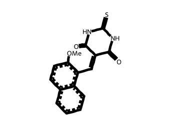 COc1ccc2ccccc2c1C=C1C(=O)NC(=S)NC1=O